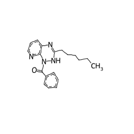 CCCCCCC1=Nc2cccnc2N(C(=O)c2ccccc2)N1